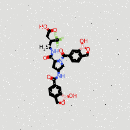 O=C(O)C[C@H]([SiH2]NC(=O)[C@@H]1CC(NC(=O)c2ccc3c(c2)B(O)OC3)CN1C(=O)c1ccc2c(c1)B(O)OC2)C(F)(F)F